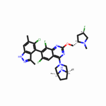 Cc1cc2[nH]nc(C)c2c(-c2c(F)cc3c(N4C[C@H]5CC[C@@](C)(C4)N5)nc(OC[C@@H]4C[C@@H](F)CN4C)nc3c2F)c1Cl